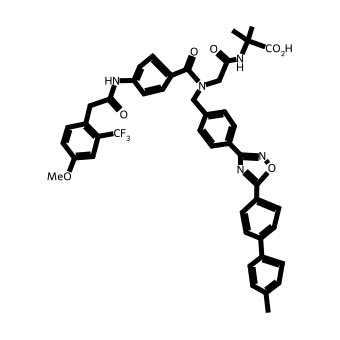 COc1ccc(CC(=O)Nc2ccc(C(=O)N(CC(=O)NC(C)(C)C(=O)O)Cc3ccc(-c4noc(-c5ccc(-c6ccc(C)cc6)cc5)n4)cc3)cc2)c(C(F)(F)F)c1